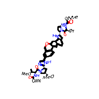 COC[C@H]1C[C@@H](c2ncc(-c3ccc4c(c3)COc3cc5c(ccc6cc([C@@H]7CC[C@H](C)N7C(=O)[C@@H](NC(=O)OC)C(C)C)[nH]c65)cc3-4)[nH]2)N(C(=O)[C@@H](NC(=O)OC)[C@@H](C)OC)C1